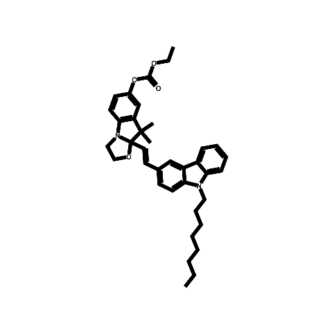 CCCCCCCCn1c2ccccc2c2cc(C=CC34OCCN3c3ccc(OC(=O)OCC)cc3C4(C)C)ccc21